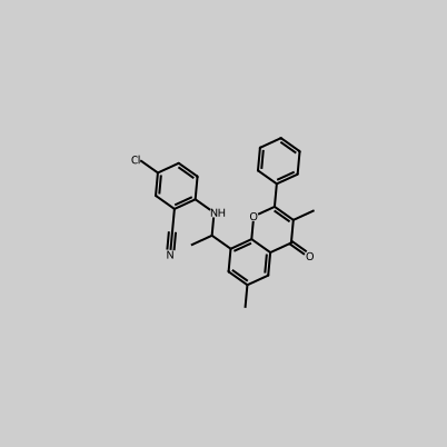 Cc1cc(C(C)Nc2ccc(Cl)cc2C#N)c2oc(-c3ccccc3)c(C)c(=O)c2c1